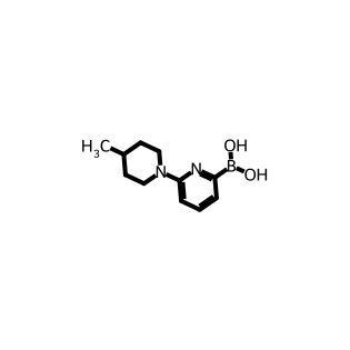 CC1CCN(c2cccc(B(O)O)n2)CC1